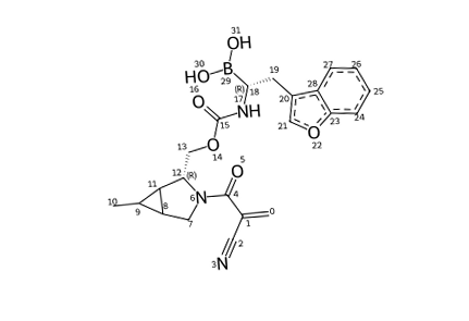 C=C(C#N)C(=O)N1CC2C(C)C2[C@@H]1COC(=O)N[C@@H](Cc1coc2ccccc12)B(O)O